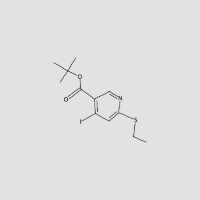 CCSc1cc(I)c(C(=O)OC(C)(C)C)cn1